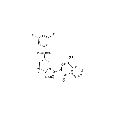 CC1(C)CN(S(=O)(=O)c2cc(F)cc(F)c2)Cc2c(NC(=O)c3ccccc3C(N)=O)n[nH]c21